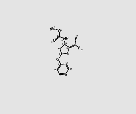 CC(C)(C)OC(=O)N[C@H]1CC(Sc2ccccc2)CC1=C(F)F